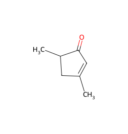 CC1=CC(=O)C(C)C1